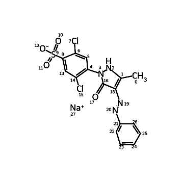 Cc1[nH]n(-c2cc(Cl)c(S(=O)(=O)[O-])cc2Cl)c(=O)c1N=Nc1ccccc1.[Na+]